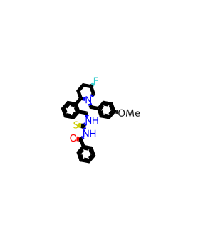 COc1ccc(CN2CC(F)CCC2c2ccccc2CNC(=S)NC(=O)c2ccccc2)cc1